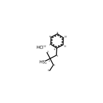 CCC(C)(S)Cc1ccccc1.Cl